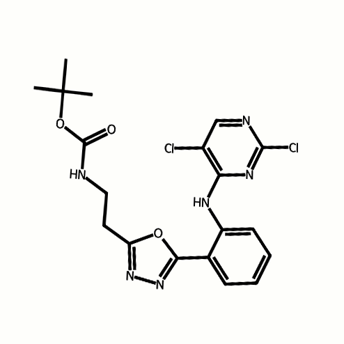 CC(C)(C)OC(=O)NCCc1nnc(-c2ccccc2Nc2nc(Cl)ncc2Cl)o1